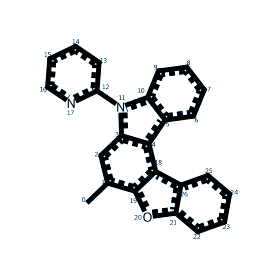 Cc1cc2c(c3ccccc3n2-c2ccccn2)c2c1oc1ccccc12